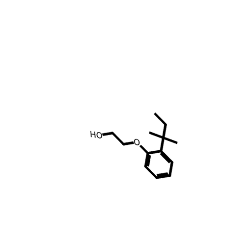 CCC(C)(C)c1ccccc1OCCO